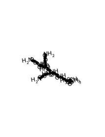 COP(=O)(OCCCCCCNC(=O)CCCC(=O)NC(CCC(=O)NC(CCC(=O)NCCOCCON)C(=O)NCCOCCON)C(=O)NCCOCCON)C(C)C